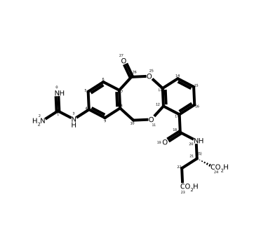 N=C(N)Nc1ccc2c(c1)COc1c(cccc1C(=O)N[C@@H](CC(=O)O)C(=O)O)OC2=O